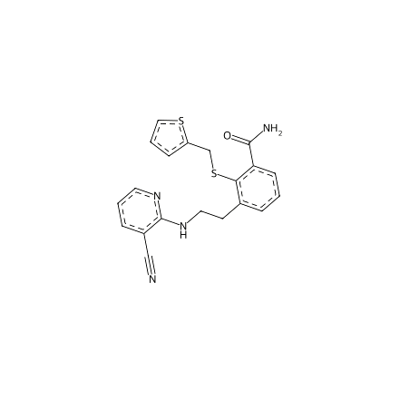 N#Cc1cccnc1NCCc1cccc(C(N)=O)c1SCc1cccs1